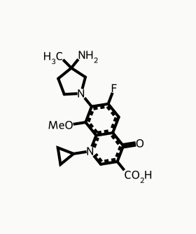 COc1c(N2CCC(C)(N)C2)c(F)cc2c(=O)c(C(=O)O)cn(C3CC3)c12